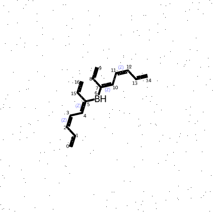 C=C/C=C\C=C(\B/C(C=C)=C/C=C\C=C)C=C